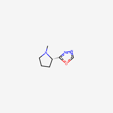 CN1CCC[C@H]1c1nnco1